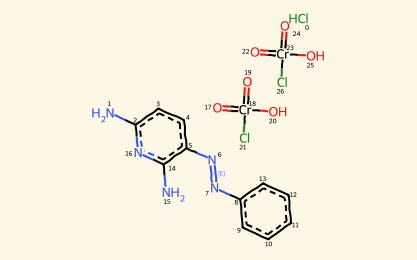 Cl.Nc1ccc(/N=N/c2ccccc2)c(N)n1.[O]=[Cr](=[O])([OH])[Cl].[O]=[Cr](=[O])([OH])[Cl]